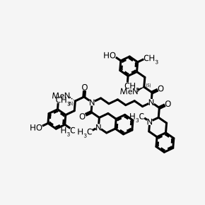 CN[C@@H](Cc1c(C)cc(O)cc1C)C(=O)N(CCCCCCN(C(=O)C1Cc2ccccc2CN1C)C(=O)[C@H](Cc1c(C)cc(O)cc1C)NC)C(=O)C1Cc2ccccc2CN1C